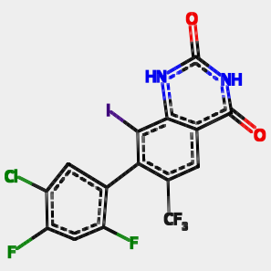 O=c1[nH]c(=O)c2cc(C(F)(F)F)c(-c3cc(Cl)c(F)cc3F)c(I)c2[nH]1